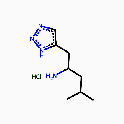 CC(C)CC(N)Cc1cnn[nH]1.Cl